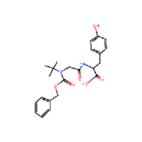 CC(C)(C)N(CC(=O)NC(Cc1ccc(O)cc1)C(=O)O)C(=O)OCc1ccccc1